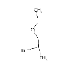 CCOCC(C)Br